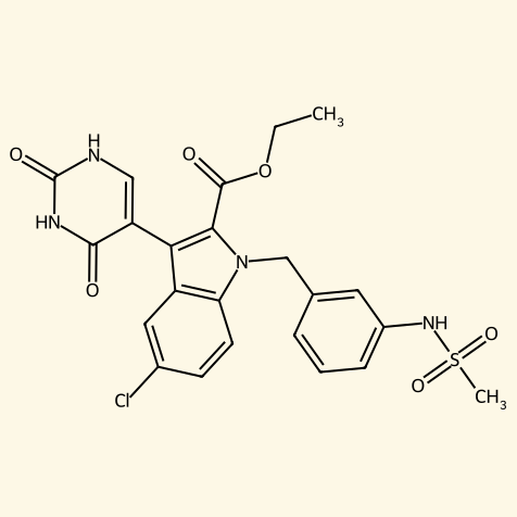 CCOC(=O)c1c(-c2c[nH]c(=O)[nH]c2=O)c2cc(Cl)ccc2n1Cc1cccc(NS(C)(=O)=O)c1